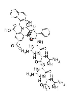 N=C(N)NC(NC(=O)C(NC(=N)N)NC(=O)C(NC(=N)N)NC(=O)C(NC(=N)N)NC(=O)C(NC(=O)C(O)N(Cc1c(O)ccc2ccccc12)c1c(C(=O)O)cc([N+](=O)[O-])cc1[N+](=O)[O-])c1ccccc1)C(N)=O